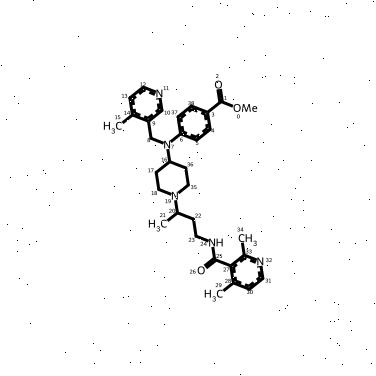 COC(=O)c1ccc(N(Cc2cnccc2C)C2CCN(C(C)CCNC(=O)c3c(C)ccnc3C)CC2)cc1